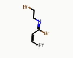 CC(C)/C=C\C(Br)=N/CCBr